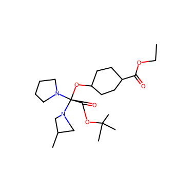 CCOC(=O)C1CCC(OC(C(=O)OC(C)(C)C)(N2CCCC2)N2CC(C)C2)CC1